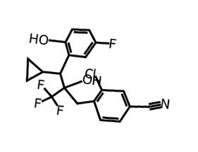 N#Cc1ccc(CC(O)(C(c2cc(F)ccc2O)C2CC2)C(F)(F)F)c(Cl)c1